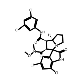 CON(C)C(=O)[C@H]1[C@@H](C(=O)Nc2cc(Cl)cc(Cl)c2)[C@H]2CCCN2C12C(=O)Nc1c(Cl)cc(Cl)cc12